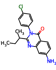 CCC(C)c1nc2cc(N)ccc2c(=O)n1-c1ccc(Cl)cc1